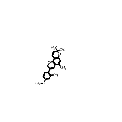 CCCOc1ccc(C2=Cc3c(C)cc4c(c3OC2)C=CC(C)(C)O4)c(O)c1